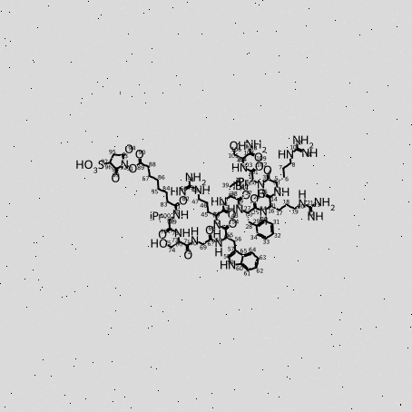 CC[C@@H](C)[C@H](NC(=O)[C@H](CCCNC(=N)N)NC(=O)[C@@H](CCCNC(=N)N)NC(=O)[C@H](Cc1ccccc1)NC(=O)[C@@H](CC(C)C)NC(=O)[C@H](CCCNC(=N)N)NC(=O)[C@@H](Cc1c[nH]c2ccccc12)NC(=O)CNC(=O)[C@@H](CO)NC(=O)[C@@H](NC(=O)CCCCCCC(=O)ON1C(=O)CC(S(=O)(=O)O)C1=O)C(C)C)C(=O)N[C@@H](CO)C(N)=O